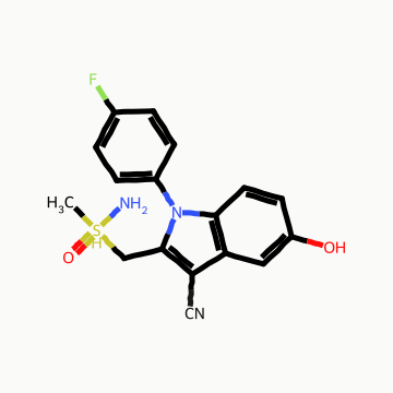 C[SH](N)(=O)Cc1c(C#N)c2cc(O)ccc2n1-c1ccc(F)cc1